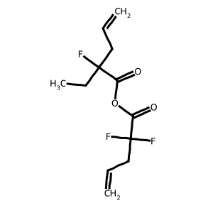 C=CCC(F)(F)C(=O)OC(=O)C(F)(CC)CC=C